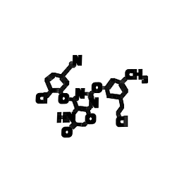 Cc1cc(CCCl)cc(Oc2nc3c(c(Oc4cc(C#N)ccc4Cl)n2)NC(=O)CO3)c1